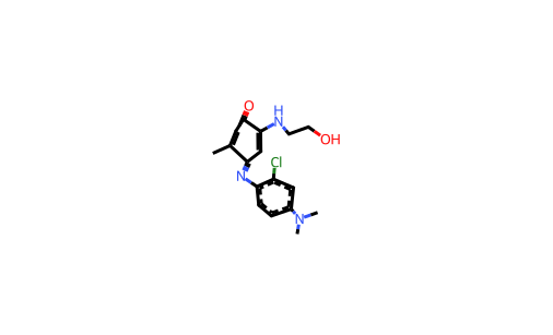 CC1=CC(=O)C(NCCO)=CC1=Nc1ccc(N(C)C)cc1Cl